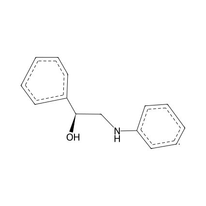 O[C@H](CNc1c[c]ccc1)c1ccccc1